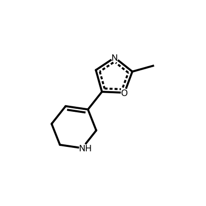 Cc1ncc(C2=CCCNC2)o1